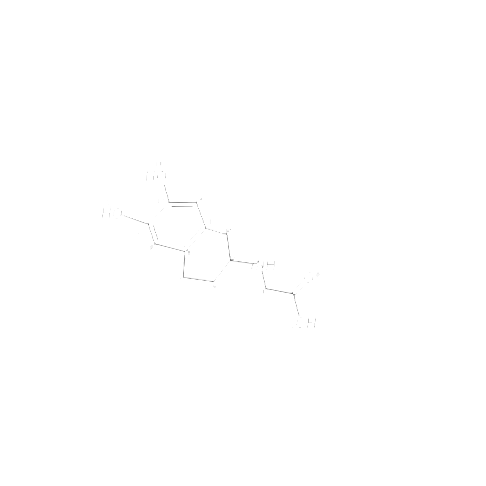 O=C(O)CNC1CCc2cc(O)c(O)cc2C1